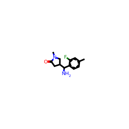 Cc1ccc(C(N)C2CC(=O)N(C)C2)c(F)c1